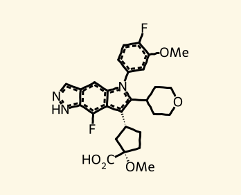 COc1cc(-n2c(C3CCOCC3)c([C@@H]3CC[C@@](OC)(C(=O)O)C3)c3c(F)c4[nH]ncc4cc32)ccc1F